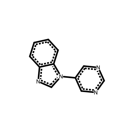 c1ccc2c(c1)ncn2-c1cncnc1